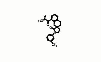 O=C(NO)c1cccc2c1CC1(CC2)CCN(c2cccc(C(F)(F)F)c2)C1=O